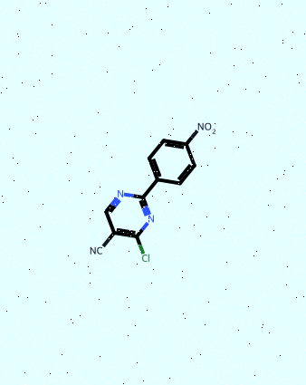 N#Cc1cnc(-c2ccc([N+](=O)[O-])cc2)nc1Cl